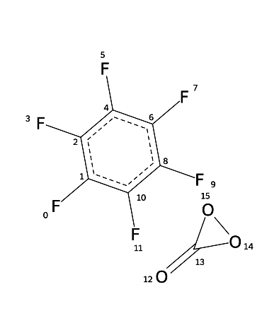 Fc1c(F)c(F)c(F)c(F)c1F.O=C1OO1